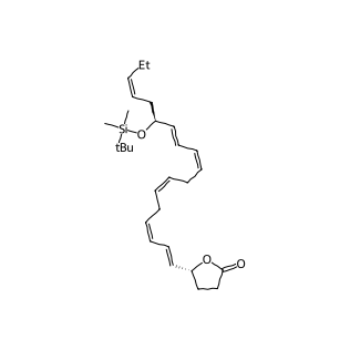 CC/C=C\C[C@@H](/C=C/C=C\C/C=C\C/C=C\C=C\[C@H]1CCC(=O)O1)O[Si](C)(C)C(C)(C)C